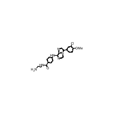 COc1ccc(-c2cnc3c(Nc4ccc(C(=O)NCCN)cc4)nccn23)cc1Cl